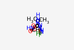 C[C@H]1CN(c2cc(S(=O)(=O)NC3(C)COC3)cc3c2ncn3-c2nnc(C(F)F)s2)C[C@H](C)N1